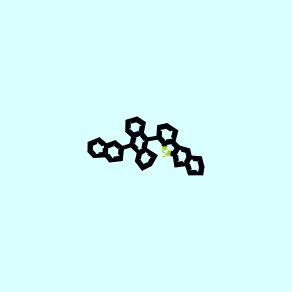 c1ccc2cc(-c3c4ccccc4c(-c4cccc5c4sc4cc6ccccc6cc45)c4ccccc34)ccc2c1